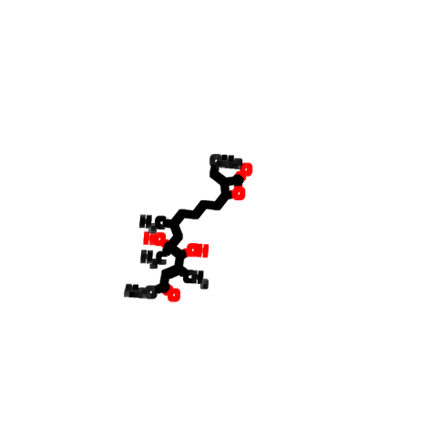 COCC1C(=O)OC1CCCCC(C)CC(C)(O)C(O)C(C)=CC(=O)OC